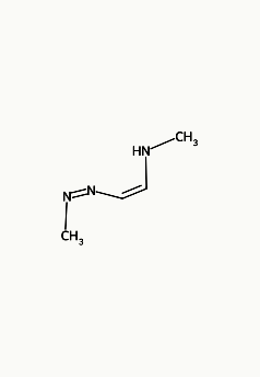 C/N=N\C=C/NC